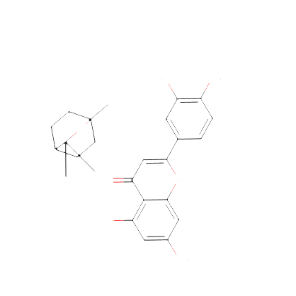 CC12CCC(CC1)C(C)(C)O2.O=c1cc(-c2ccc(O)c(O)c2)oc2cc(O)cc(O)c12